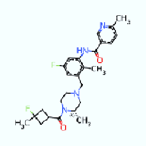 Cc1ccc(C(=O)Nc2cc(F)cc(CN3CCN(C(=O)C4CC(C)(F)C4)[C@@H](C)C3)c2C)cn1